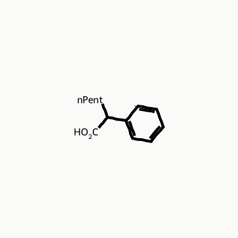 CCCCCC(C(=O)O)c1[c]cccc1